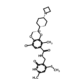 CSc1cc(C)[nH]c(=O)c1CNC(=O)c1cc(Cl)c2c(c1C)O[C@@H]([C@H]1CC[C@@H](N3CCC3)CC1)CO2